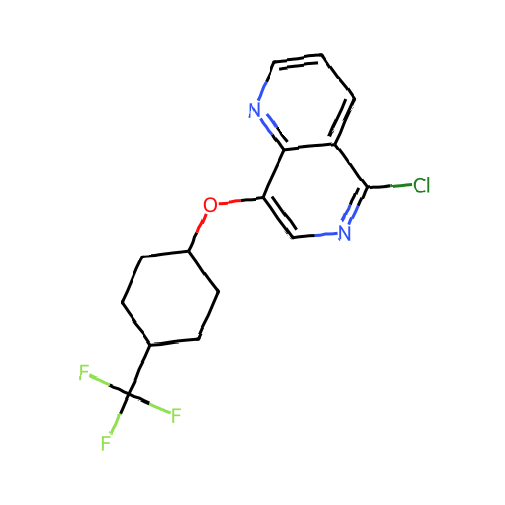 FC(F)(F)C1CCC(Oc2cnc(Cl)c3cccnc23)CC1